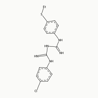 CCSc1ccc(NC(=N)NC(=N)Nc2ccc(Cl)cc2)cc1